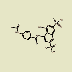 CC(=O)Nc1ccc(C(=O)Nc2cc(S(=O)(=O)O)cc3cc(S(=O)(=O)O)cc(O)c23)cc1